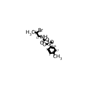 Cc1ccc(S(=O)(=O)OC(=O)NCC(C)Br)cc1